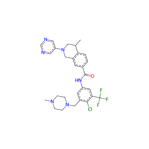 CC1CN(c2cncnc2)Cc2cc(C(=O)Nc3cc(CN4CCN(C)CC4)c(Cl)c(C(F)(F)F)c3)ccc21